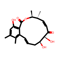 Cc1cc(O)c2c(c1C)/C=C/C[C@H](O)[C@H](O)C(=O)/C=C\[C@@H](C)[C@H](C)OC2=O